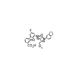 CC1=NN(c2ccc3c(c2)CCC3)C(=O)C1=NNc1cc(F)cc(-c2cccc(C(=O)O)c2)c1O